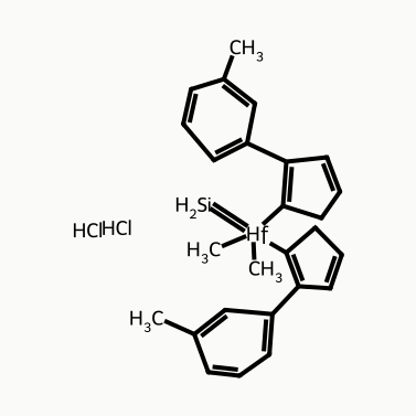 Cc1cccc(C2=[C]([Hf]([CH3])([CH3])(=[SiH2])[C]3=C(c4cccc(C)c4)C=CC3)CC=C2)c1.Cl.Cl